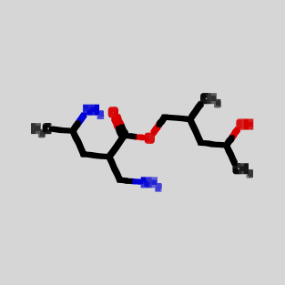 CC(N)CC(CN)C(=O)OCC(C)CC(C)O